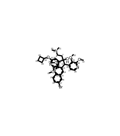 COc1cc(C(O)(CCN(C)C)C(c2cc3cc(Br)ccc3nc2OC)c2ccnc(OC)c2OC)cc(OC2CCC2)n1